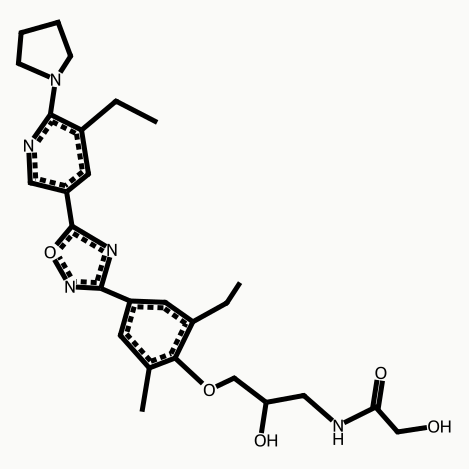 CCc1cc(-c2nc(-c3cc(C)c(OCC(O)CNC(=O)CO)c(CC)c3)no2)cnc1N1CCCC1